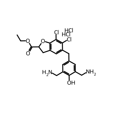 CCOC(=O)C1Cc2cc(Cc3cc(CN)c(O)c(CN)c3)c(Cl)c(Cl)c2O1.Cl.Cl